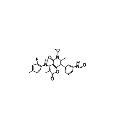 Cc1ccc(Nc2c(C)c(=O)oc3c(-c4cccc(NC=O)c4)c(C)n(C4CC4)c(=O)c23)c(F)c1